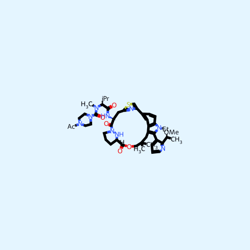 CCn1c(-c2cccnc2[C@H](C)OC)c2c3cc(ccc31)-c1csc(n1)C[C@H](NC(=O)[C@H](C(C)C)N(C)C(=O)N1CCN(C(C)=O)CC1)C(=O)N1CCC[C@H](N1)C(=O)OCC(C)(C)C2